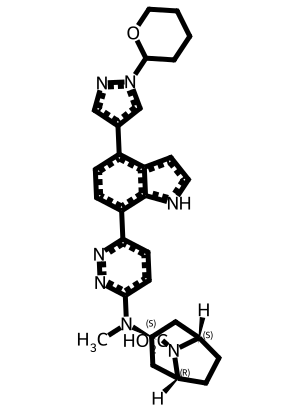 CN(c1ccc(-c2ccc(-c3cnn(C4CCCCO4)c3)c3cc[nH]c23)nn1)[C@@H]1C[C@H]2CC[C@@H](C1)N2C(=O)O